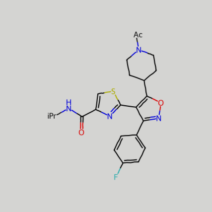 CC(=O)N1CCC(c2onc(-c3ccc(F)cc3)c2-c2nc(C(=O)NC(C)C)cs2)CC1